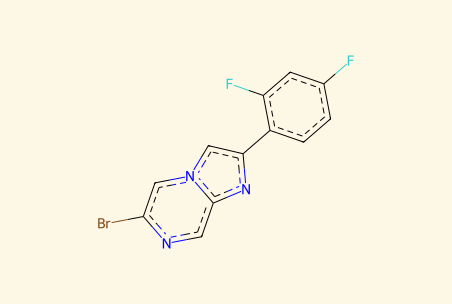 Fc1ccc(-c2cn3cc(Br)ncc3n2)c(F)c1